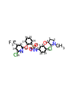 CN1CCC(Oc2cc(NS(=O)(=O)c3ccccc3Oc3cc(C(F)(F)F)cc(Cl)n3)ccc2Cl)C1